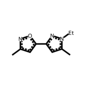 CCn1nc(-c2cc(C)no2)cc1C